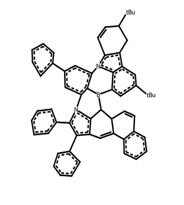 CC(C)(C)c1cc2c3c(c1)c1c(n3-c3cc(-c4ccccc4)cc4c3B2C2c3c(c(-c5ccccc5)c(-c5ccccc5)n3-4)C=C3c4ccccc4C=CC32)C=CC(C(C)(C)C)C1